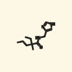 CCCC(C)(CC)C(=O)NCc1c[nH]cn1